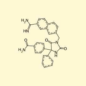 N=C(N)c1ccc2ccc(CN3C(=O)NC(c4ccccc4)(c4ccc(C(N)=O)cc4)C3=O)cc2c1